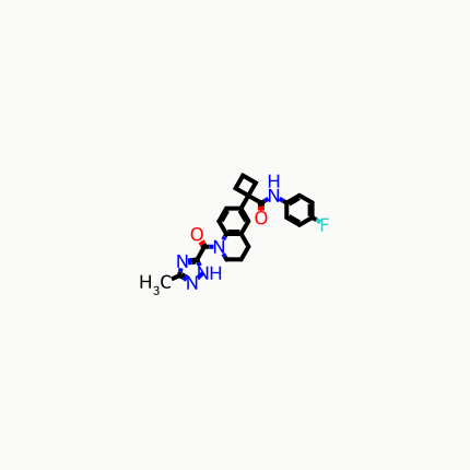 Cc1n[nH]c(C(=O)N2CCCc3cc(C4(C(=O)Nc5ccc(F)cc5)CCC4)ccc32)n1